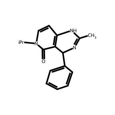 CC1=NC(c2ccccc2)c2c(ccn(C(C)C)c2=O)N1